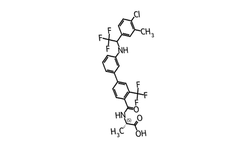 Cc1cc(C(Nc2cccc(-c3ccc(C(=O)N[C@@H](C)C(=O)O)c(C(F)(F)F)c3)c2)C(F)(F)F)ccc1Cl